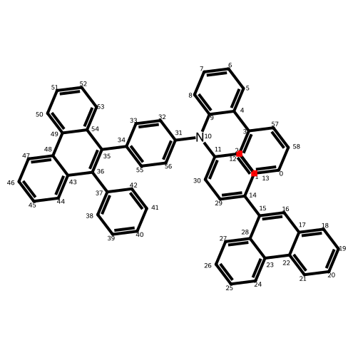 c1ccc(-c2ccccc2N(c2ccc(-c3cc4ccccc4c4ccccc34)cc2)c2ccc(-c3c(-c4ccccc4)c4ccccc4c4ccccc34)cc2)cc1